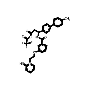 Cc1ccc(-c2ccc(C(CC(=O)OC(=O)C(F)(F)F)NC(=O)c3cccc(OCCn4ccccc4=N)c3)cc2)cc1